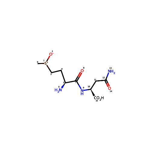 C[S+]([O-])CC[C@H](N)C(=O)N[C@@H](CC(N)=O)C(=O)O